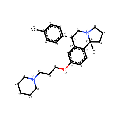 N#Cc1ccc([C@@H]2CN3CCC[C@@H]3c3ccc(OCCCN4CCCCC4)cc32)cc1